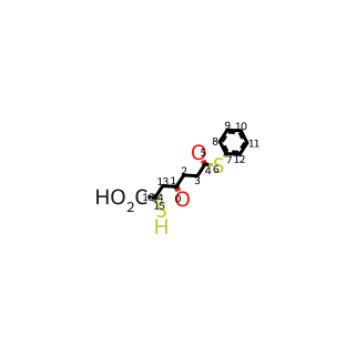 O=C(CCC(=O)Sc1ccccc1)CC(S)C(=O)O